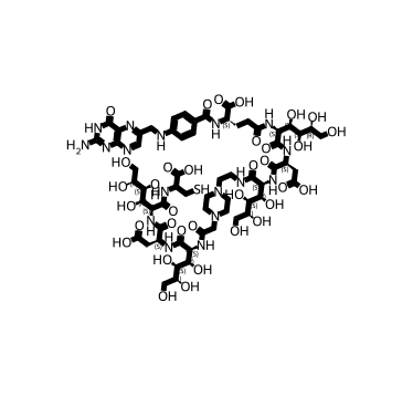 Nc1nc2ncc(CNc3ccc(C(=O)N[C@@H](CCC(=O)N[C@H](C(=O)N[C@@H](CC(=O)O)C(=O)N[C@H](C(=O)NCCN4CCN(CC(=O)N[C@H](C(=O)N[C@@H](CC(=O)O)C(=O)N[C@H](C(=O)NC(CS)C(=O)O)[C@@H](O)[C@H](O)[C@H](O)CO)[C@@H](O)[C@H](O)[C@H](O)CO)CC4)[C@@H](O)[C@H](O)[C@H](O)CO)[C@@H](O)[C@H](O)[C@H](O)CO)C(=O)O)cc3)nc2c(=O)[nH]1